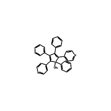 CC(C)(C)[Si]1(c2ccccc2)C(c2ccncc2)=C(c2ccccc2)C(c2ccccc2)=C1c1ccncc1